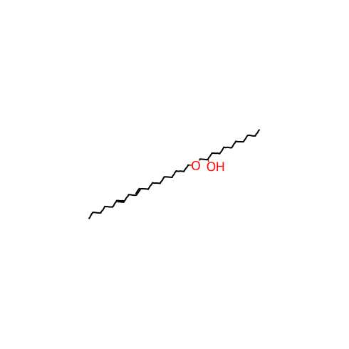 CCCCCC=CCC=CCCCCCCCCOC[C@H](O)CCCCCCCCC